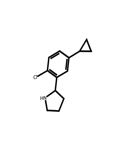 Clc1ccc(C2CC2)cc1C1CCCN1